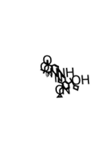 C[C@@H]1c2nc(Nc3cc4c(C(C)(O)C5CCC5)cnc(OC5CC5)c4cn3)ccc2C(=O)OC1(C)C